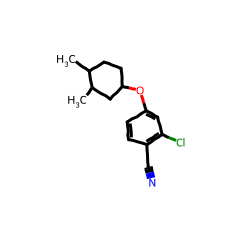 CC1CCC(Oc2ccc(C#N)c(Cl)c2)CC1C